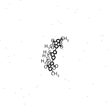 CCc1ccc2c(=O)oc3c(OC)c(-c4ccc5c(c4)c(C)c(C)c4cc(-c6cc7c(=O)oc8c(OC)ccc9c(=O)oc(c6OC)c7c89)ccc45)cc4c(=O)oc1c2c34